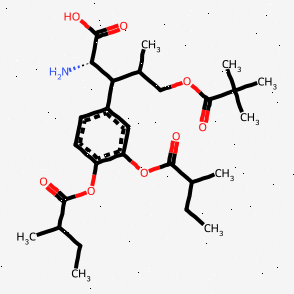 CCC(C)C(=O)Oc1ccc(C(C(C)COC(=O)C(C)(C)C)[C@H](N)C(=O)O)cc1OC(=O)C(C)CC